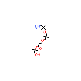 CC(C)(CN)COCC(C)(C)COCCC(=O)OC(C)(C)CO